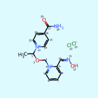 CC(OC[n+]1ccccc1/C=N\O)[n+]1ccc(C(N)=O)cc1.[Cl-].[Cl-]